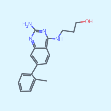 Cc1ccccc1-c1ccc2c(NCCCO)nc(N)nc2c1